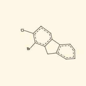 Clc1ccc2c(c1Br)Cc1ccccc1-2